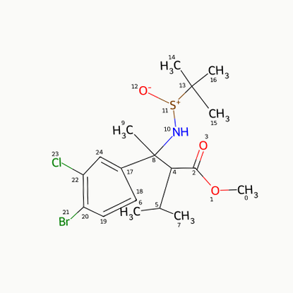 COC(=O)C(C(C)C)C(C)(N[S+]([O-])C(C)(C)C)c1ccc(Br)c(Cl)c1